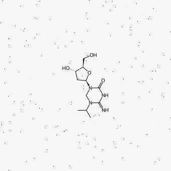 CC(C)N1CN([C@H]2C[C@H](O)[C@@H](CO)O2)C(=O)NC1=N